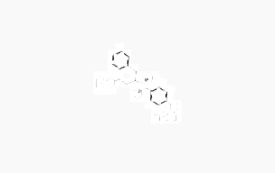 CCCCOc1ccc(S(=O)(=O)C(CCO)Cc2ccccc2)cc1